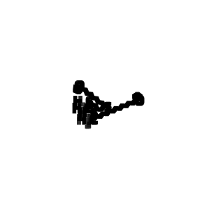 CC(C)CCCC(CCCCCCCC1CCCO1)SC(CCCCCCCC1CCCO1)CCCC(C)C